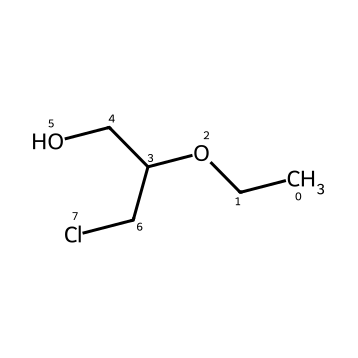 CCOC(CO)CCl